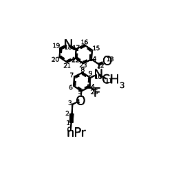 CCCC#CCOc1cccc(N(C)C(=O)c2ccc3ncccc3c2)c1F